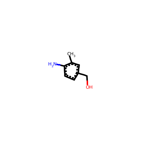 Cc1cc(CO)ccc1N